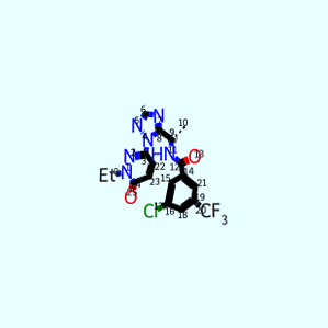 CCn1nc(-n2ncnc2[C@H](C)NC(=O)c2cc(Cl)cc(C(F)(F)F)c2)ccc1=O